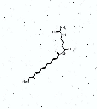 CCCCCCCCCC=CC=CC=CC=CC=CC(=O)N[C@@H](CCCNC(=N)N)C(=O)O